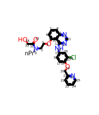 CCCN(CCOc1cccc2ncnc(Nc3ccc(OCc4ccccn4)c(Cl)c3)c12)C(=O)CO